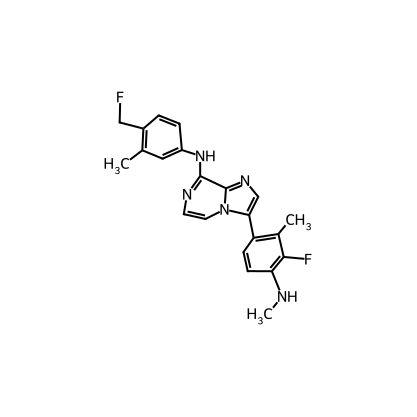 CNc1ccc(-c2cnc3c(Nc4ccc(CF)c(C)c4)nccn23)c(C)c1F